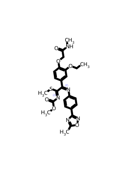 CCOc1cc(C(=N/c2ccc(-c3noc(C)n3)cc2)/C(=N/C(=O)OC)SC)ccc1OCC(=O)NC